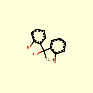 O=C(O)C(O)(c1ccccc1Br)c1ccccc1Br